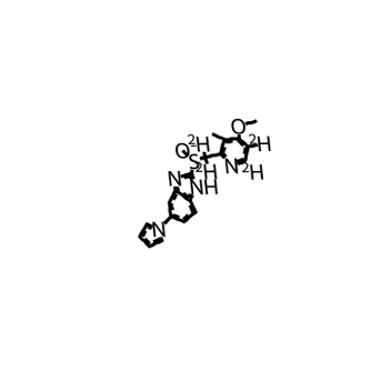 [2H]c1nc(C([2H])([2H])[S+]([O-])c2nc3cc(-n4cccc4)ccc3[nH]2)c(C)c(OC)c1[2H]